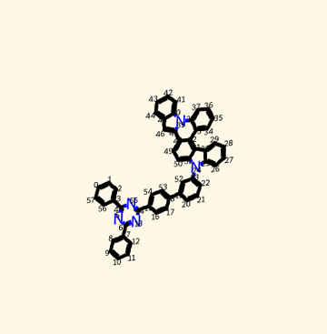 c1ccc(-c2nc(-c3ccccc3)nc(-c3ccc(-c4cccc(-n5c6ccccc6c6c7c8ccccc8n8c9ccccc9cc8c7ccc65)c4)cc3)n2)cc1